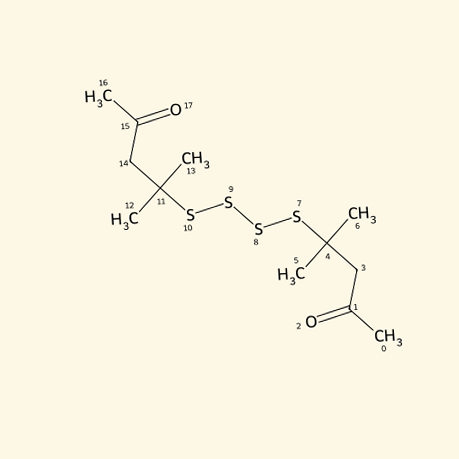 CC(=O)CC(C)(C)SSSSC(C)(C)CC(C)=O